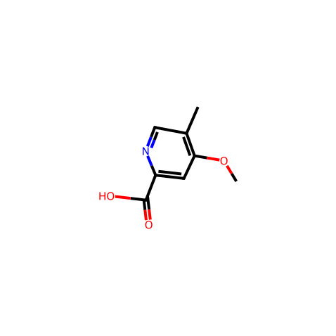 COc1cc(C(=O)O)ncc1C